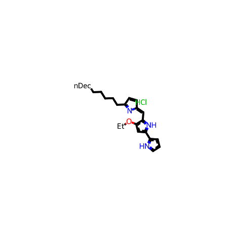 CCCCCCCCCCCCCCCC1=NC(=Cc2[nH]c(-c3ccc[nH]3)cc2OCC)C=C1.Cl